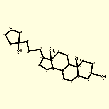 CC12CCC3C(CCC4CC(O)CCC43C)C1CCC2CCCC1(O)CCOC1